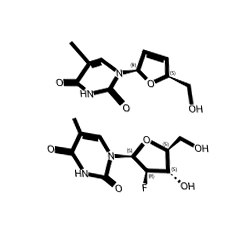 Cc1cn([C@H]2C=C[C@@H](CO)O2)c(=O)[nH]c1=O.Cc1cn([C@H]2O[C@@H](CO)[C@H](O)[C@H]2F)c(=O)[nH]c1=O